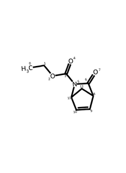 CCOC(=O)N1C(=O)C2C=CC1C2